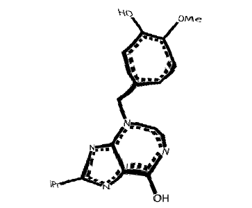 COc1ccc(Cn2cnc(O)c3nc(C(C)C)nc2-3)cc1O